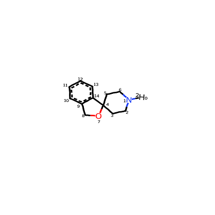 [2H]N1CCC2(CC1)OCc1ccccc12